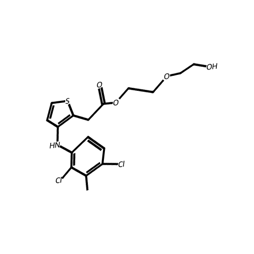 Cc1c(Cl)ccc(Nc2ccsc2CC(=O)OCCOCCO)c1Cl